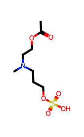 CC(=O)OCCN(C)CCCOS(=O)(=O)O